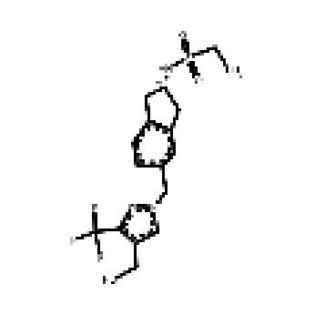 CCS(=O)(=O)N[C@H]1Cc2ccc(Cn3cc(CO)c(C(F)(F)F)n3)cc2C1